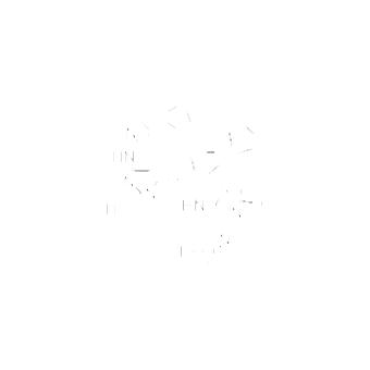 Cc1nc(Nc2ncc(-c3ccccc3)s2)cc(OCCNC(=O)[C@@H]2CN(C(=O)O)CCN2C(=O)OCC2c3ccccc3-c3ccccc32)n1